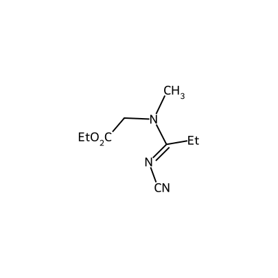 CCOC(=O)CN(C)C(CC)=NC#N